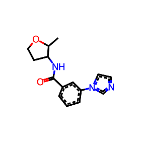 CC1OCCC1NC(=O)c1cccc(-n2ccnc2)c1